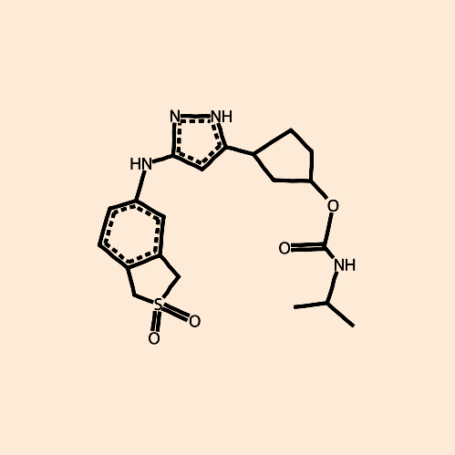 CC(C)NC(=O)OC1CCC(c2cc(Nc3ccc4c(c3)CS(=O)(=O)C4)n[nH]2)C1